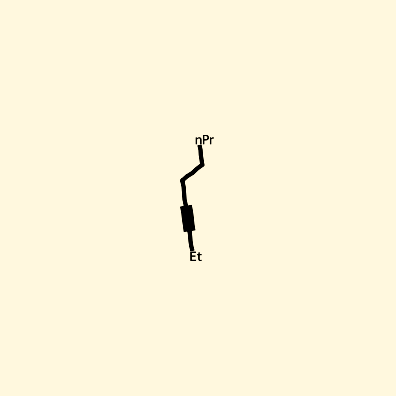 C[CH]CCCC#CCC